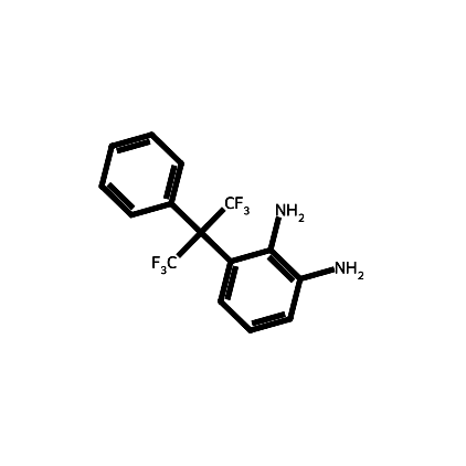 Nc1cccc(C(c2ccccc2)(C(F)(F)F)C(F)(F)F)c1N